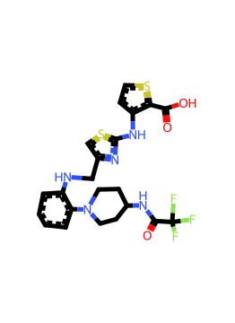 O=C(O)c1sccc1Nc1nc(CNc2ccccc2N2CCC(NC(=O)C(F)(F)F)CC2)cs1